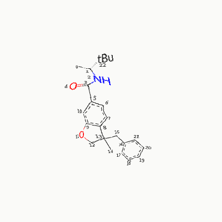 C[C@@H](NC(=O)c1ccc2c(c1)OCC2(C)Cc1ccccc1)C(C)(C)C